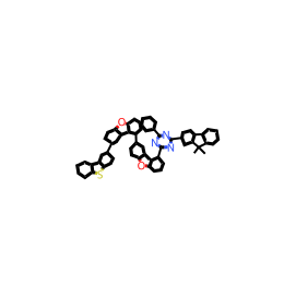 CC1(C)c2ccccc2-c2ccc(-c3nc(-c4ccccc4)nc(-c4cccc5oc6ccc(-c7cccc8oc9ccc(-c%10ccc%11sc%12ccccc%12c%11c%10)cc9c78)cc6c45)n3)cc21